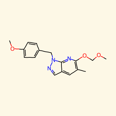 COCOc1nc2c(cnn2Cc2ccc(OC)cc2)cc1C